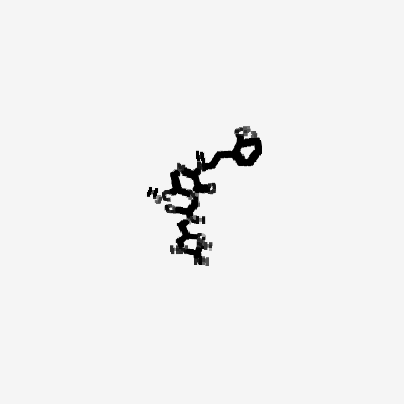 Cc1cnc(NCCc2ccccc2C(F)(F)F)c(=O)n1CC(=O)NCC1CNC(=N)NO1